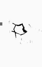 CC1(F)C(C(=O)O)=CC=C[C@H]1C(=O)O.CCCCCCO